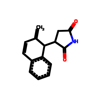 C=C1C=Cc2ccccc2C1C1CC(=O)NC1=O